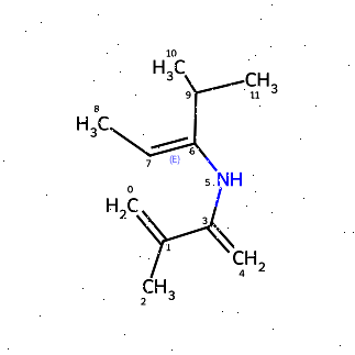 C=C(C)C(=C)N/C(=C/C)C(C)C